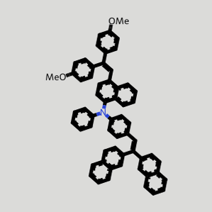 COc1ccc(C(=Cc2ccc(N(c3ccccc3)c3ccc(C=C(c4ccc5ccccc5c4)c4ccc5ccccc5c4)cc3)c3ccccc23)c2ccc(OC)cc2)cc1